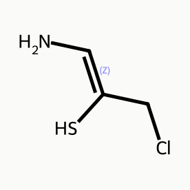 N/C=C(\S)CCl